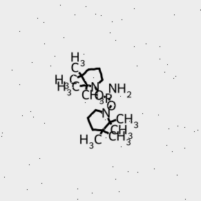 CC1(C)CCCN(OP(N)ON2CCCC(C)(C)C2(C)C)C1(C)C